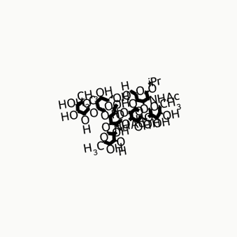 CC(=O)NC1[C@H](OC(C)C)OC(CO)[C@@H](O[C@@H]2O[C@@H](CO)[C@H](O)C(O[C@@H]3OC(CO)[C@@H](O[C@@H]4O[C@@H](CO)[C@H](O)C(C)C4O[C@@H]4O[C@@H](C)[C@@H](O)C(O)C4O)[C@H](O[C@@H]4OC(C)[C@@H](O)[C@H](O)C4O)C3NC(C)=O)C2O)[C@@H]1O[C@@H]1OC(C)[C@@H](O)[C@H](O)C1O